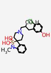 CN1c2ccccc2C2(CCN(CC(Cc3cc(O)ccc3Cl)C(=O)O)CC2)S1(O)O